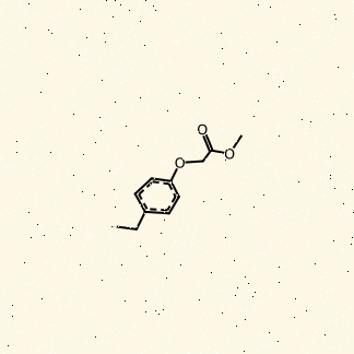 [CH2]Cc1ccc(OCC(=O)OC)cc1